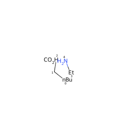 CCCCCC(=O)O.CCN